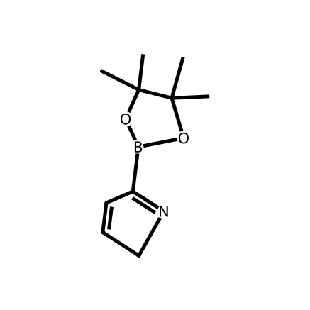 CC1(C)OB(C2=NCC=C2)OC1(C)C